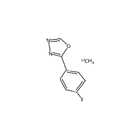 Fc1ccc(-c2nnco2)cc1.[13CH4]